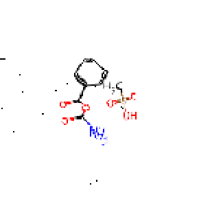 CS(=O)(=O)O.NC(=O)OC(=O)c1ccccc1